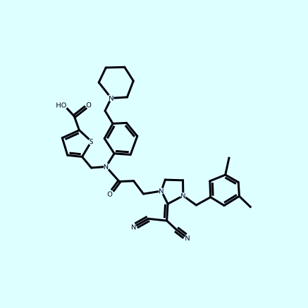 Cc1cc(C)cc(CN2CCN(CCC(=O)N(Cc3ccc(C(=O)O)s3)c3cccc(CN4CCCCC4)c3)C2=C(C#N)C#N)c1